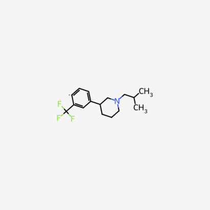 CC(C)CN1CCCC(c2cc[c]c(C(F)(F)F)c2)C1